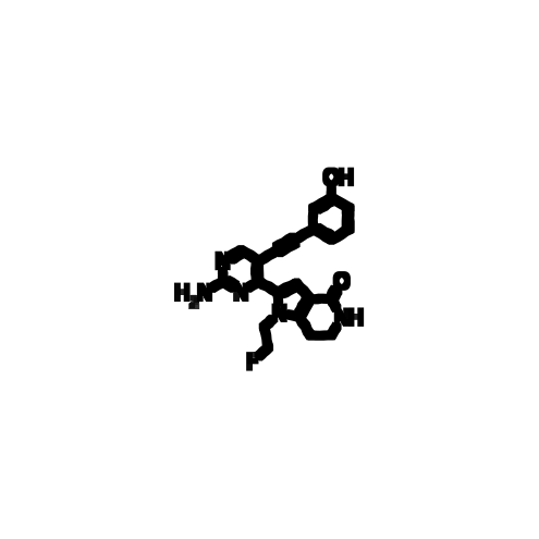 Nc1ncc(C#Cc2cccc(O)c2)c(-c2cc3c(n2CCF)CCNC3=O)n1